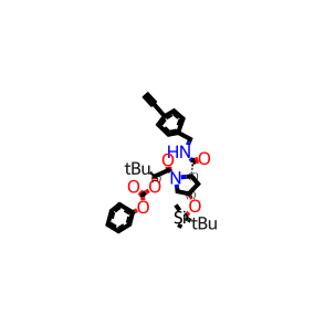 C#Cc1ccc(CNC(=O)[C@@H]2C[C@@H](O[Si](C)(C)C(C)(C)C)CN2C(=O)[C@@H](OC(=O)Oc2ccccc2)C(C)(C)C)cc1